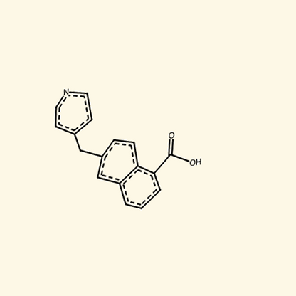 O=C(O)c1cccc2cc(Cc3ccncc3)ccc12